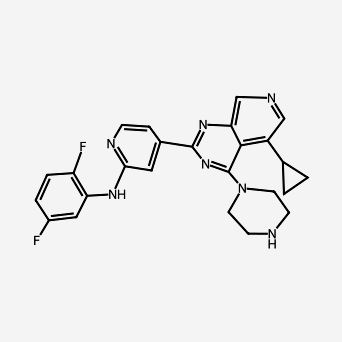 Fc1ccc(F)c(Nc2cc(-c3nc(N4CCNCC4)c4c(C5CC5)cncc4n3)ccn2)c1